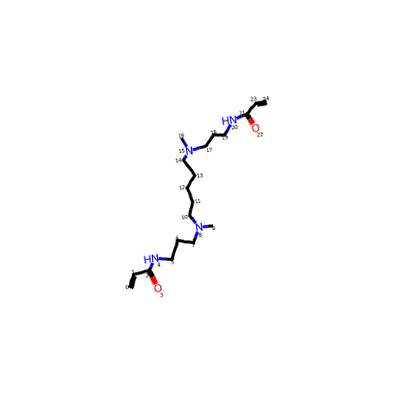 C=CC(=O)NCCCN(C)CCCCCN(C)CCCNC(=O)C=C